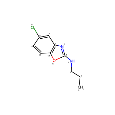 CCCNc1nc2cc(Cl)ccc2o1